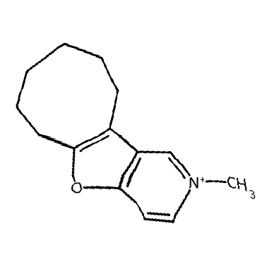 C[n+]1ccc2oc3c(c2c1)CCCCCC3